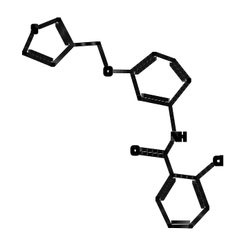 O=C(Nc1cccc(OCc2ccsc2)c1)c1ccccc1Cl